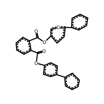 O=C(Oc1ccc(-c2ccccc2)cc1)c1ccccc1C(=O)Oc1ccc(-c2ccccc2)cc1